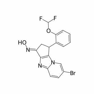 ON=C1CC(c2ccccc2OC(F)F)c2c1nc1ccc(Br)cn21